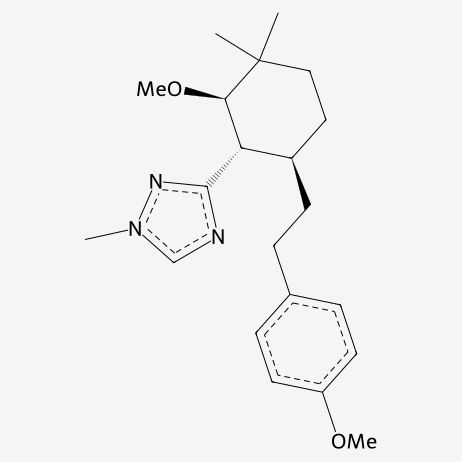 COc1ccc(CC[C@@H]2CCC(C)(C)[C@H](OC)[C@H]2c2ncn(C)n2)cc1